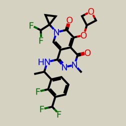 CC(Nc1nn(C)c(=O)c2c(OC3COC3)c(=O)n(C3(C(F)F)CC3)cc12)c1cccc(C(F)F)c1F